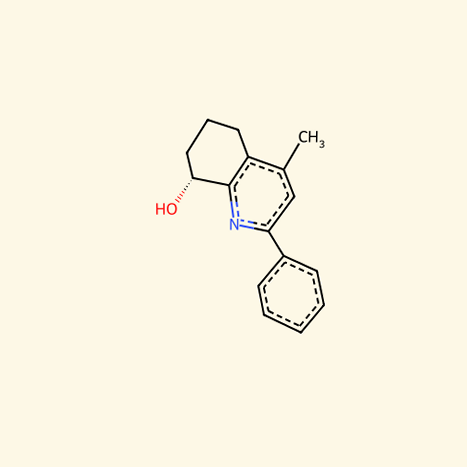 Cc1cc(-c2ccccc2)nc2c1CCC[C@H]2O